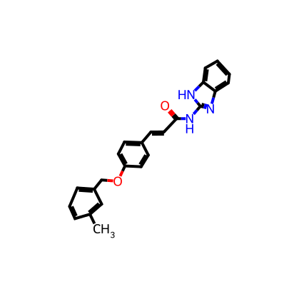 Cc1cccc(COc2ccc(/C=C/C(=O)Nc3nc4ccccc4[nH]3)cc2)c1